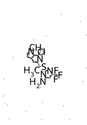 CC(Sc1nc(N)cc(C(F)(F)F)n1)c1cc2ccn(C)c2c(Cl)n1